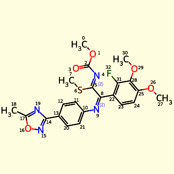 COC(=O)/N=C(SC)/C(=N\c1ccc(-c2noc(C)n2)cc1)c1ccc(OC)c(OC)c1F